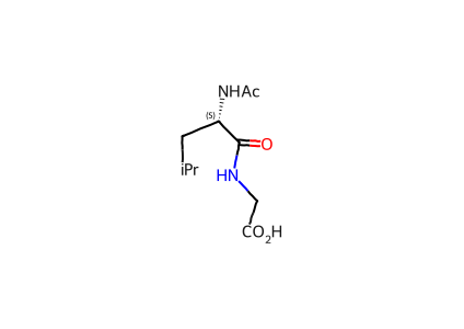 CC(=O)N[C@@H](CC(C)C)C(=O)NCC(=O)O